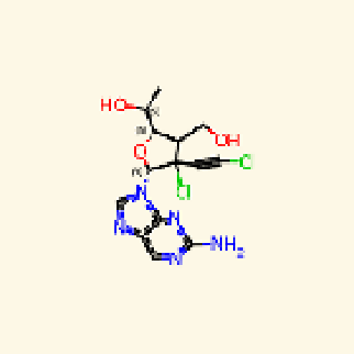 C[C@H](O)[C@H]1O[C@@H](n2cnc3cnc(N)nc32)C(Cl)(C#CCl)C1CO